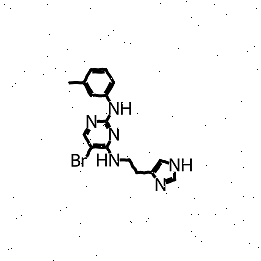 Cc1cccc(Nc2ncc(Br)c(NCCc3c[nH]cn3)n2)c1